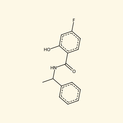 CC(NC(=O)c1ccc(F)cc1O)c1ccccc1